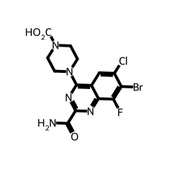 NC(=O)c1nc(N2CCN(C(=O)O)CC2)c2cc(Cl)c(Br)c(F)c2n1